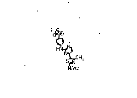 CNc1nc(C)c(-c2ccnc(Nc3ccc(S(C)(=O)=O)cc3)n2)s1